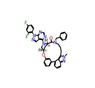 Cn1nc2cccc3c2c1CCCN(Cc1ccccc1)C(=O)[C@@H]1C[C@@H](CN1c1ncnc2c1cnn2-c1ccc(F)cc1F)Oc1cccc-3c1